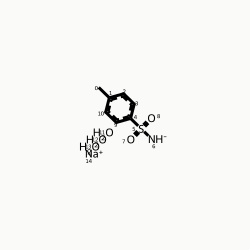 Cc1ccc(S([NH-])(=O)=O)cc1.O.O.O.[Na+]